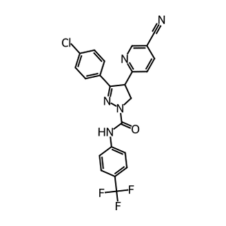 N#Cc1ccc(C2CN(C(=O)Nc3ccc(C(F)(F)F)cc3)N=C2c2ccc(Cl)cc2)nc1